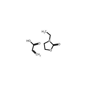 C=CC(=O)O.CCN1CCOC1=O